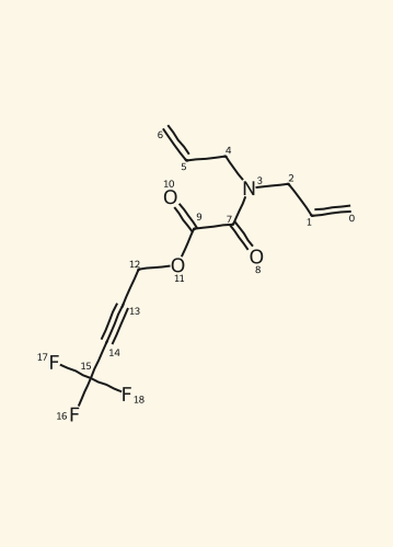 C=CCN(CC=C)C(=O)C(=O)OCC#CC(F)(F)F